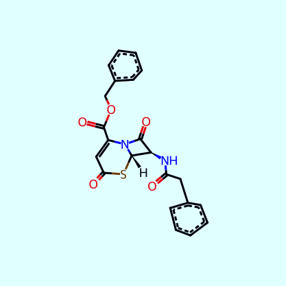 O=C(Cc1ccccc1)N[C@@H]1C(=O)N2C(C(=O)OCc3ccccc3)=CC(=O)S[C@@H]12